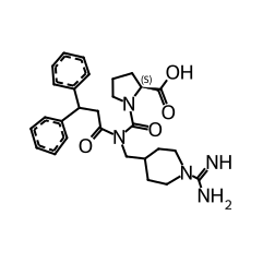 N=C(N)N1CCC(CN(C(=O)CC(c2ccccc2)c2ccccc2)C(=O)N2CCC[C@H]2C(=O)O)CC1